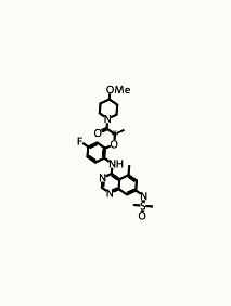 COC1CCN(C(=O)[C@@H](C)Oc2cc(F)ccc2Nc2ncnc3cc(N=S(C)(C)=O)cc(C)c23)CC1